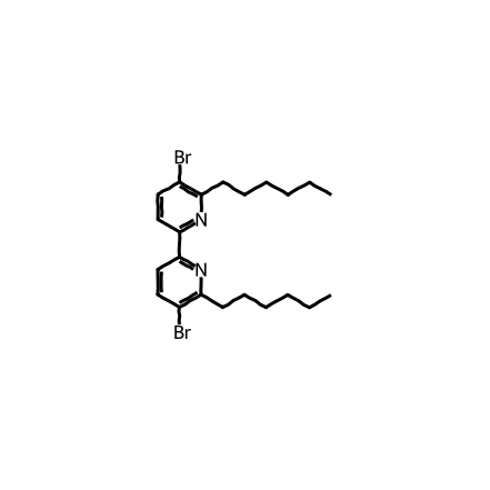 CCCCCCc1nc(-c2ccc(Br)c(CCCCCC)n2)ccc1Br